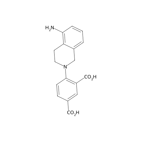 Nc1cccc2c1CCN(c1ccc(C(=O)O)cc1C(=O)O)C2